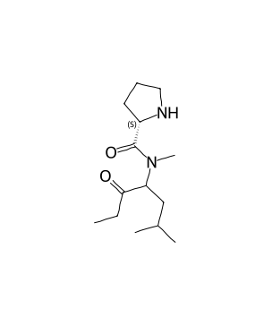 CCC(=O)C(CC(C)C)N(C)C(=O)[C@@H]1CCCN1